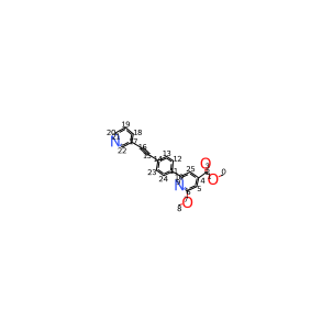 COC(=O)c1cc(OC)nc(-c2ccc(C#Cc3cccnc3)cc2)c1